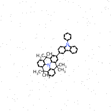 CC1(C)c2cccc3c2N2c4c1cccc4C(C)(C)c1cc(-c4ccc5c(c4)c4ccccc4n5-c4ccccc4)cc(c12)C3(C)C